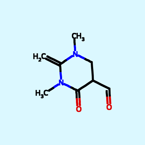 C=C1N(C)CC(C=O)C(=O)N1C